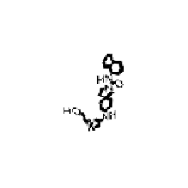 O=C(N[C@@H]1CCCc2ccccc21)N1CC[C@]2(CC[C@@H](Nc3cnn(CCO)c3)CC2)C1